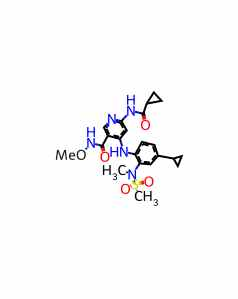 CONC(=O)c1cnc(NC(=O)C2CC2)cc1Nc1ccc(C2CC2)cc1N(C)S(C)(=O)=O